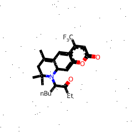 CCCCC(C(=O)CC)N1C2C=c3oc(=O)cc(C(F)(F)F)c3=CC2=C(C)CC1(C)C